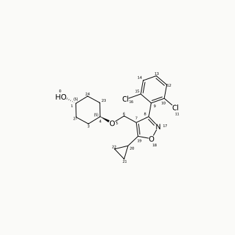 O[C@H]1[CH]C[C@H](OCc2c(-c3c(Cl)cccc3Cl)noc2C2CC2)CC1